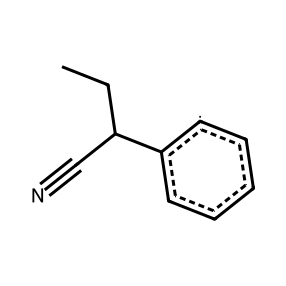 CCC(C#N)c1[c]cccc1